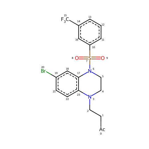 CC(=O)CCN1CCN(S(=O)(=O)c2cccc(C(F)(F)F)c2)c2cc(Br)ccc21